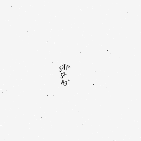 [Ag+].[S-2].[S-2].[Ti+4]